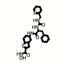 O=C(NCc1ccccn1)NC(Cc1ccccc1)C(=O)Nc1ccc2sc(C(=O)NO)cc2c1